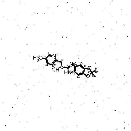 Cc1cnc(CSc2nc3cc4c(cc3[nH]2)OC(F)(F)O4)c(C)c1